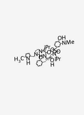 CNc1cc(S(=O)(=O)N(CC(C)C)C[C@@H](O)[C@H](Cc2ccccc2)NC(=O)[C@H](C(C)C)N2CCN(Cc3ccc(C)[nH]3)C2=O)ccc1O